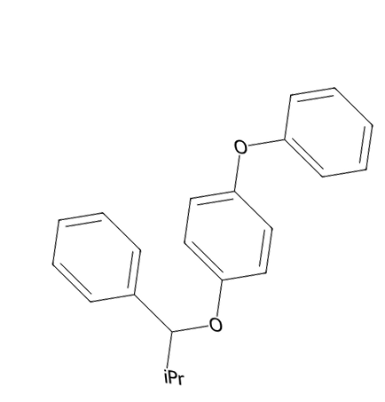 CC(C)C(Oc1ccc(Oc2ccccc2)cc1)c1ccccc1